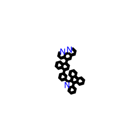 c1cc(-c2ccc(-c3cc4cccnc4c4ncccc34)c3ccccc23)cc(-c2nc3ccccc3c3c4ccccc4c4ccccc4c23)c1